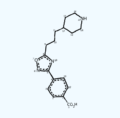 O=C(O)c1ccc(-c2noc(CCCC3CCNCC3)n2)cc1